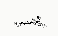 CCOC(OCCOCCN)(C(C)=O)C(=O)O